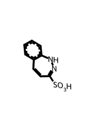 O=S(=O)(O)C1=NNc2ccccc2C=C1